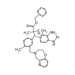 CCNc1ccc(C(c2ccc(C)c(CN3CCOc4cccnc4C3)c2)C(C)(C)C(=O)OCc2ccccc2)c(C)c1N